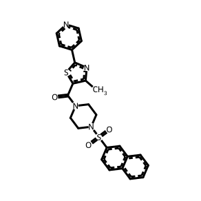 Cc1nc(-c2ccncc2)sc1C(=O)N1CCN(S(=O)(=O)c2ccc3ccccc3c2)CC1